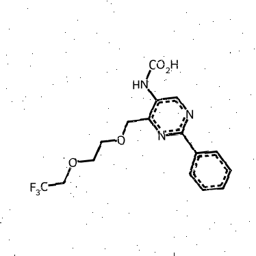 O=C(O)Nc1cnc(-c2ccccc2)nc1COCCOCC(F)(F)F